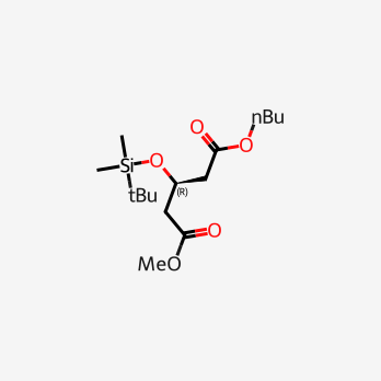 CCCCOC(=O)C[C@@H](CC(=O)OC)O[Si](C)(C)C(C)(C)C